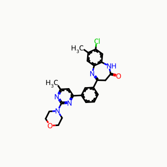 Cc1cc(-c2cccc(C3=Nc4cc(C)c(Cl)cc4NC(=O)C3)c2)nc(N2CCOCC2)n1